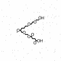 COC(CCCCOCCOCCO)COCCOC(=O)CCC(=O)O